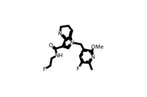 COc1nc(C)c(F)cc1Cn1cc(C(=O)NCCF)c2c1=CCCN=2